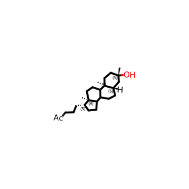 CC(=O)CCC[C@H]1CCC2C3CC[C@H]4C[C@@](C)(O)CC[C@]4(C)C3CC[C@@]21C